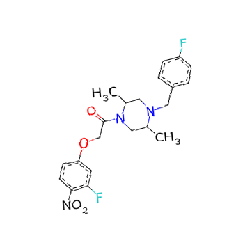 CC1CN(C(=O)COc2ccc([N+](=O)[O-])c(F)c2)C(C)CN1Cc1ccc(F)cc1